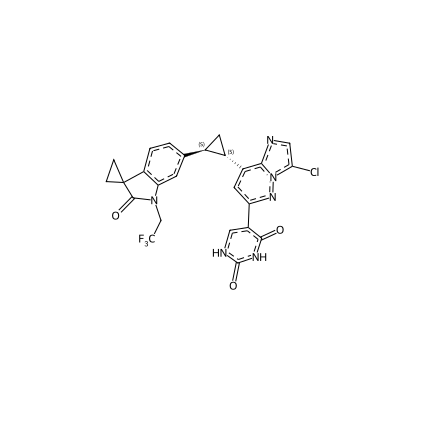 O=C1N(CC(F)(F)F)c2cc([C@H]3C[C@@H]3c3cc(-c4c[nH]c(=O)[nH]c4=O)nn4c(Cl)cnc34)ccc2C12CC2